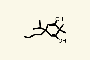 CCCCC1(C(C)C)C=C(O)C(C)(C)C(O)=C1